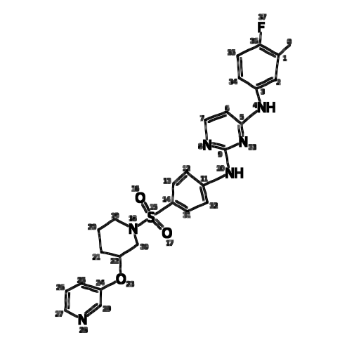 Cc1cc(Nc2ccnc(Nc3ccc(S(=O)(=O)N4CCCC(Oc5cccnc5)C4)cc3)n2)ccc1F